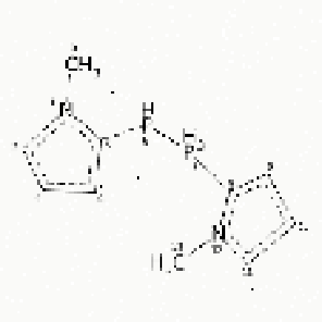 Cn1cccc1P[PH3]c1cccn1C